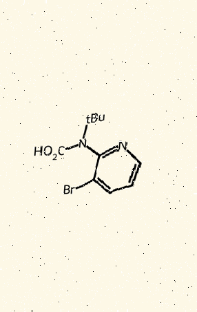 CC(C)(C)N(C(=O)O)c1ncccc1Br